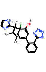 CCC(C)C(C)(c1ncc[nH]1)C1(Cl)CC=C(c2ccccc2-c2nnn[nH]2)C=C1O.[K]